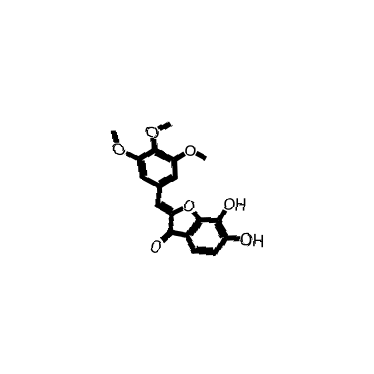 COc1cc(C=C2Oc3c(ccc(O)c3O)C2=O)cc(OC)c1OC